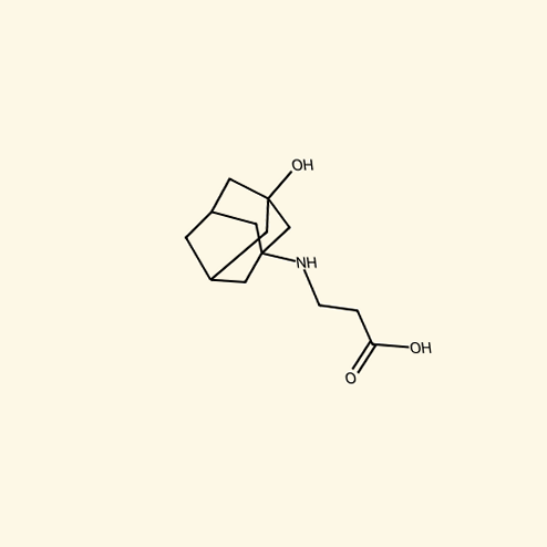 O=C(O)CCNC12CC3CC(CC(O)(C3)C1)C2